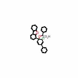 O=C(O)C(OC1(c2cccc3c2oc2ccccc23)C=CC(c2ccccc2)=CC1Cl)c1ccccc1